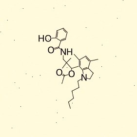 CCCCCCN1CCc2c(C)cc(C)c(C(OC(C)=O)C(C)(C)CNC(=O)c3ccccc3O)c21